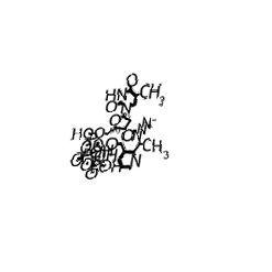 Cc1cn([C@H]2CC(OC(=O)c3cccnc3C(C)N=[N+]=[N-])[C@@H](COP(=O)(O)OP(=O)(O)OP(=O)(O)O)O2)c(=O)[nH]c1=O